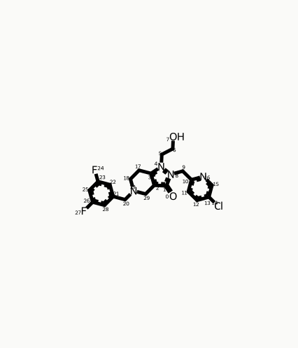 O=c1c2c(n(CCO)n1Cc1ccc(Cl)cn1)CCN(Cc1cc(F)cc(F)c1)C2